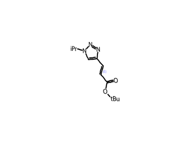 CC(C)n1cc(/C=C/C(=O)OC(C)(C)C)nn1